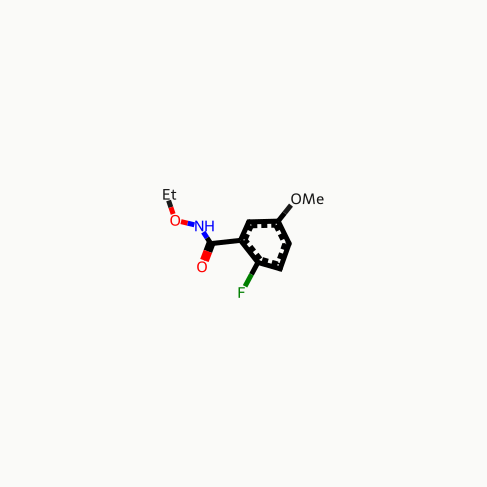 CCONC(=O)c1cc(OC)ccc1F